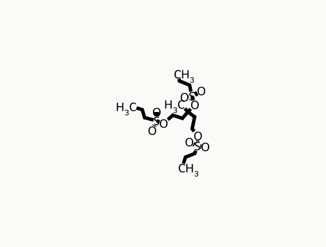 CCCS(=O)(=O)OCCC(C)(CCOS(=O)(=O)CCC)OS(=O)(=O)CCC